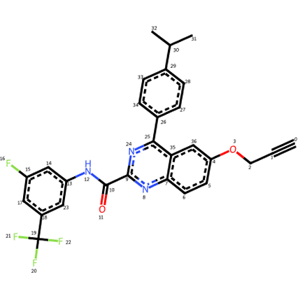 C#CCOc1ccc2nc(C(=O)Nc3cc(F)cc(C(F)(F)F)c3)nc(-c3ccc(C(C)C)cc3)c2c1